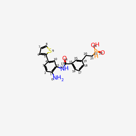 Nc1ccc(-c2cccs2)cc1NC(=O)c1cccc(CC[PH](=O)O)c1